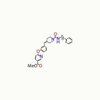 COC(=O)c1ccc(Oc2cccc(C=C3CCN(C(=O)NC4C[C@H]4c4ccccc4)CC3)c2)nc1